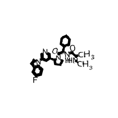 CNC(C)C(=O)N[C@H](C(=O)N1CCCC1c1cncc(-n2ccc3cc(F)ccc32)c1)C1CCCCC1